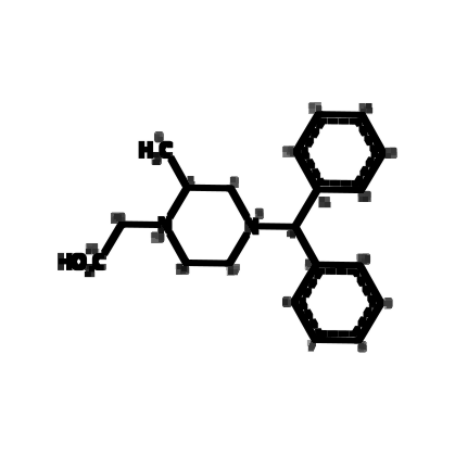 CC1CN(C(c2ccccc2)c2ccccc2)CCN1CC(=O)O